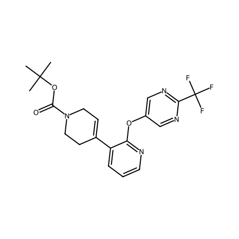 CC(C)(C)OC(=O)N1CC=C(c2cccnc2Oc2cnc(C(F)(F)F)nc2)CC1